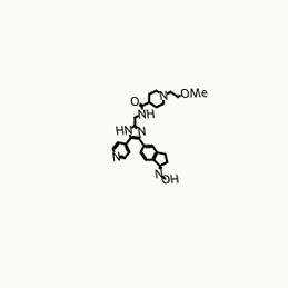 COCCN1CCC(C(=O)NCc2nc(-c3ccc4c(c3)CC/C4=N\O)c(-c3ccncc3)[nH]2)CC1